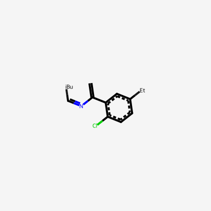 C=C(/N=C\C(C)CC)c1cc(CC)ccc1Cl